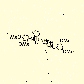 COc1cc(Cn2cc(CNC(=O)c3cccnc3Nc3ccc(OC)cc3OC)nn2)cc(OC)c1